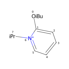 CC(C)COc1cccc[n+]1C(C)C